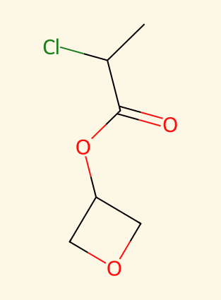 CC(Cl)C(=O)OC1COC1